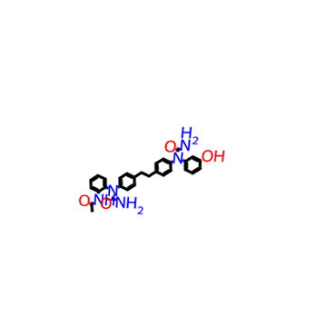 CC(=O)Nc1ccccc1N(C(N)=O)c1ccc(CCc2ccc(N(C(N)=O)c3cccc(O)c3)cc2)cc1